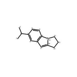 CC(C)c1ccc2c(c1)cc1n2CCC1